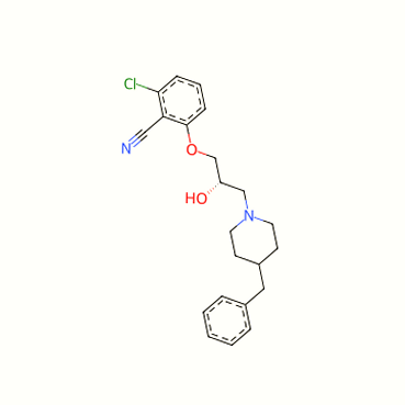 N#Cc1c(Cl)cccc1OC[C@@H](O)CN1CCC(Cc2ccccc2)CC1